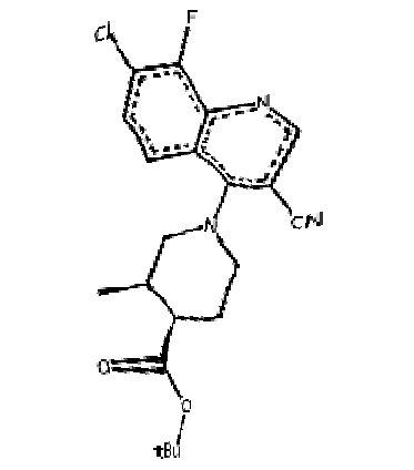 C[C@H]1CN(c2c(C#N)cnc3c(F)c(Cl)ccc23)CC[C@H]1C(=O)OC(C)(C)C